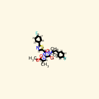 COC(=O)[C@@H](C)C[C@H](NC(=O)c1cnc(-c2ccc(F)cc2)s1)C(=O)NC(C)(C)Cc1ccc(F)cc1